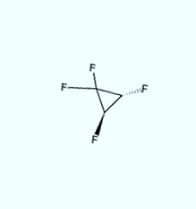 F[C@@H]1[C@@H](F)C1(F)F